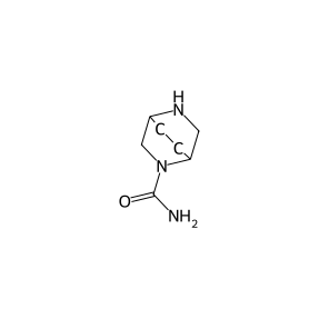 NC(=O)N1CC2CCC1CN2